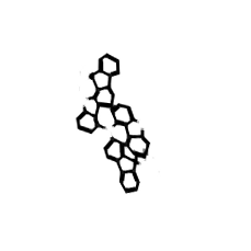 CC1(C)c2ccccc2-c2ccc(N(c3cccc4oc5ccccc5c34)c3cccc4oc5c6c(ccc5c34)-c3ccccc3C6(C)C)cc21